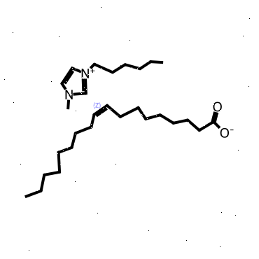 CCCCCCCC/C=C\CCCCCCCC(=O)[O-].CCCCCC[n+]1ccn(C)c1